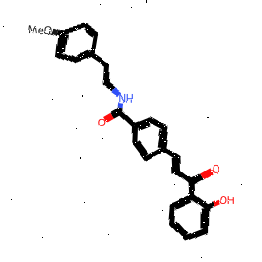 COc1ccc(CCNC(=O)c2ccc(C=CC(=O)c3ccccc3O)cc2)cc1